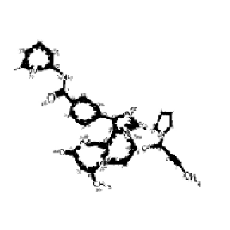 CC#CC(=O)N1CCC[C@H]1c1nc(-c2ccc(C(=O)Nc3ccccn3)cc2)c2c3nc(=O)cc(C)n3ccn12